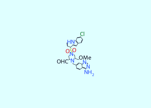 C=CC(c1cc2ccc(Cl)cc2[nH]1)S(=O)(=O)N1CC(C=O)N(Cc2ccc3c(N)ncnc3c2)C(COC)C1